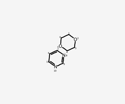 C1COCCO1.c1cncnc1